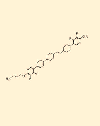 CCCCOc1ccc(C2=CCC(C3CCC(CCC4CCC(c5ccc(C)c(F)c5F)CC4)CC3)CC2)c(F)c1F